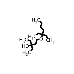 CCCCC(CC)(CC)OCCC(O)(CC)CC